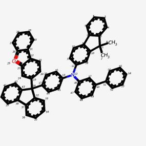 CC1(C)c2ccccc2-c2ccc(N(c3ccc(C4(c5ccc6c(c5)oc5ccccc56)c5ccccc5-c5ccccc54)cc3)c3cccc(-c4ccccc4)c3)cc21